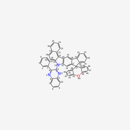 c1ccc(-c2nc3ccccc3nc2-n2c3cc4c(cc3c3c5ccccc5ccc32)-c2ccccc2C42c3ccccc3Oc3ccccc32)cc1